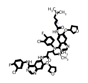 CN(C)C/C=C/C(=O)Nc1cc2c(N(c3ccc(F)c(Cl)c3)C(CC(=O)Nc3cc4c(Nc5ccc(F)c(Cl)c5)ncnc4cc3OC3CCOC3)CN(C)C)ncnc2cc1OC1CCOC1